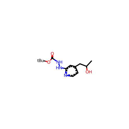 CC(O)Cc1ccnc(NNC(=O)OC(C)(C)C)c1